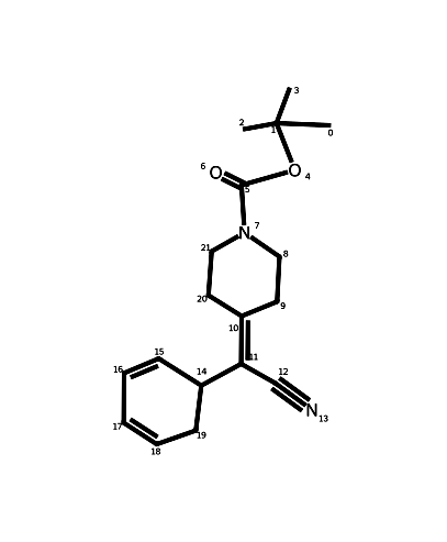 CC(C)(C)OC(=O)N1CCC(=C(C#N)C2C=CC=CC2)CC1